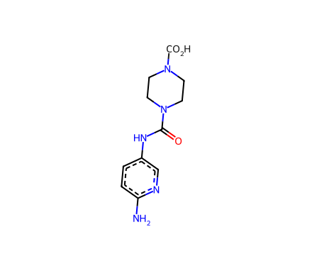 Nc1ccc(NC(=O)N2CCN(C(=O)O)CC2)cn1